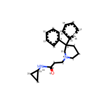 O=C(CCN1CCCC(c2ccccc2)(c2ccccc2)C1)NC1CC1